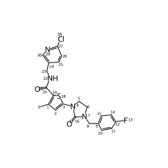 Cc1cc(N2CCN(Cc3ccc(F)cc3)C2=O)sc1C(=O)NCc1ccc(Cl)nc1